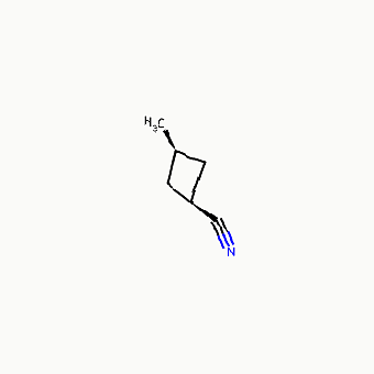 C[C@H]1C[C@@H](C#N)C1